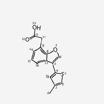 Cc1csc(-c2coc3c(CC(=O)O)cccc23)c1